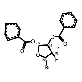 C[C@@]1(F)[C@H](OC(=O)c2ccccc2)[C@@H](OC(=O)c2ccccc2)O[C@@H]1Br